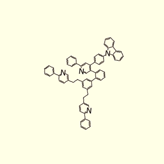 c1ccc(-c2ccc(CCc3cc(CCc4ccc(-c5ccccc5)nc4)cc(-c4ccccc4-c4cnc(-c5ccccc5)cc4-c4ccc(-n5c6ccccc6c6ccccc65)cc4)c3)cn2)cc1